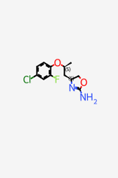 C[C@@H](C[C@H]1COC(N)=N1)Oc1ccc(Cl)cc1F